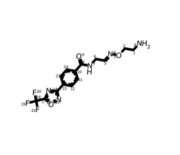 NCCON=CCNC(=O)c1ccc(-c2noc(C(F)(F)F)n2)cc1